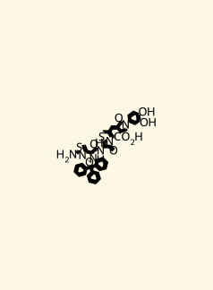 Nc1nc(C(=NOC(c2ccccc2)(c2ccccc2)c2ccccc2)C(=O)N[C@@H]2C(=O)N3C(C(=O)O)=C(C=C4CCN(c5ccc(O)c(O)c5)C4=O)CS[C@H]23)cs1